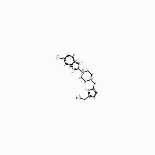 OCc1ccc(CN2CCN(c3nc4ccc(Cl)cc4s3)CC2)s1